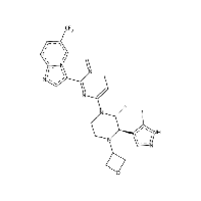 C=N/C(=N\C(=C/C)N1CCN(C2COC2)[C@H](c2cn[nH]c2C)[C@H]1C)c1cnc2ccc(C(F)(F)F)cn12